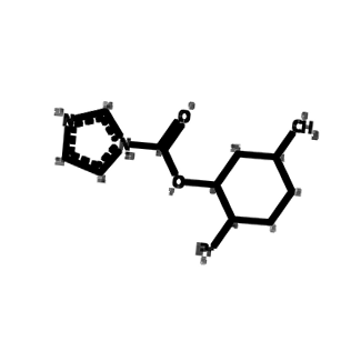 CC1CCC(C(C)C)C(OC(=O)n2ccnc2)C1